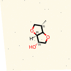 C[C@H]1CO[C@H]2C1OC[C@@H]2O